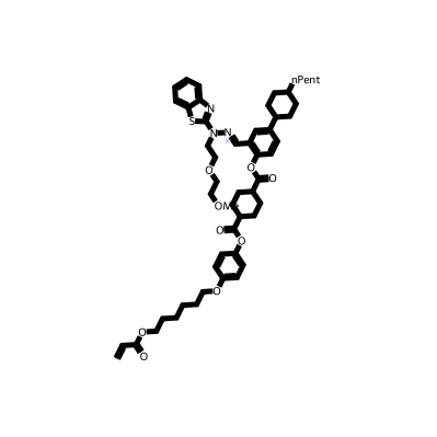 C=CC(=O)OCCCCCCOc1ccc(OC(=O)C2CCC(C(=O)Oc3ccc(C4CCC(CCCCC)CC4)cc3/C=N/N(CCOCCOC)c3nc4ccccc4s3)CC2)cc1